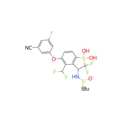 CC(C)(C)[S+]([O-])NC1c2c(ccc(Oc3cc(F)cc(C#N)c3)c2C(F)F)S(O)(O)C1(F)F